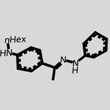 CCCCCCNc1ccc(C(C)=NNc2ccccc2)cc1